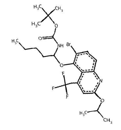 CCCCC(NC(=O)OC(C)(C)C)Oc1c(Br)ccc2nc(OC(C)C)cc(C(F)(F)F)c12